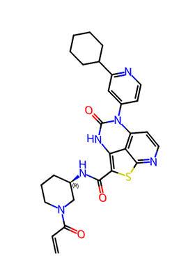 C=CC(=O)N1CCC[C@@H](NC(=O)c2sc3nccc4c3c2NC(=O)N4c2ccnc(C3CCCCC3)c2)C1